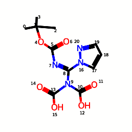 CC(C)(C)OC(=O)N=C(N(C(=O)O)C(=O)O)n1cccn1